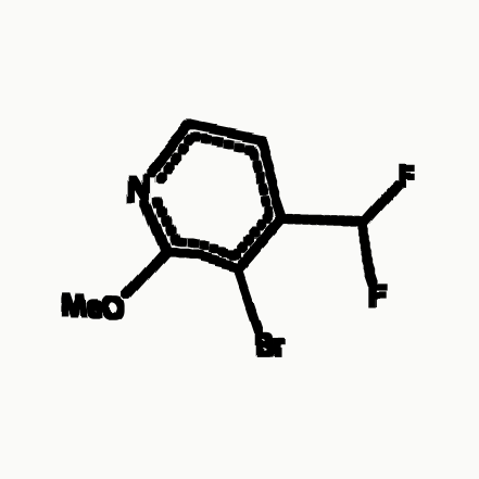 COc1nccc(C(F)F)c1Br